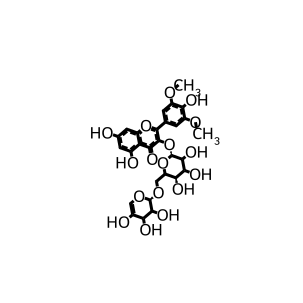 COc1cc(-c2oc3cc(O)cc(O)c3c(=O)c2O[C@H]2OC(CO[C@@H]3OC=C(O)C(O)C3O)[C@H](O)C(O)C2O)cc(OC)c1O